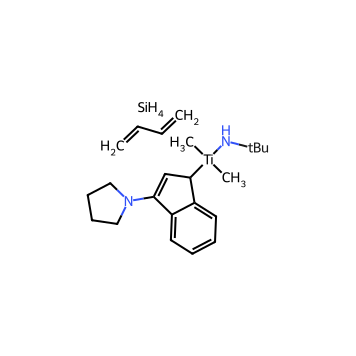 C=CC=C.CC(C)(C)[NH][Ti]([CH3])([CH3])[CH]1C=C(N2CCCC2)c2ccccc21.[SiH4]